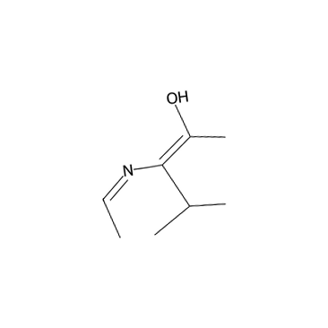 C/C=N\C(=C(\C)O)C(C)C